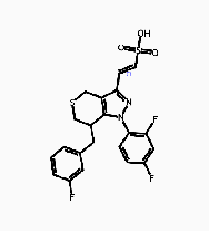 O=S(=O)(O)/C=C/c1nn(-c2ccc(F)cc2F)c2c1CSCC2Cc1cccc(F)c1